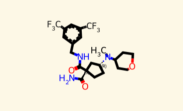 CN(C1CCOCC1)[C@@H]1CC[C@](C(N)=O)(C(=O)NCc2cc(C(F)(F)F)cc(C(F)(F)F)c2)C1